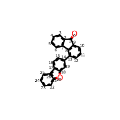 O=C1c2ccccc2-c2c1cccc2-c1ccc2c(c1)oc1ccccc12